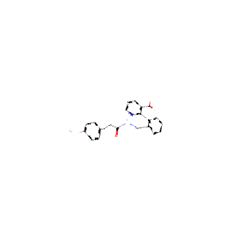 COc1ccc(CC(=O)NCc2ccccc2-c2ccccc2C(=O)O)cc1